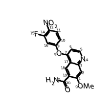 COc1cc2nccc(Oc3ccc([N+](=O)[O-])c(F)c3)c2cc1C(N)=O